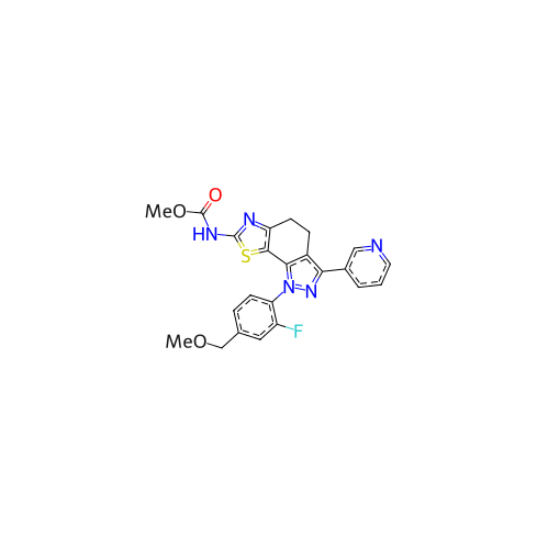 COCc1ccc(-n2nc(-c3cccnc3)c3c2-c2sc(NC(=O)OC)nc2CC3)c(F)c1